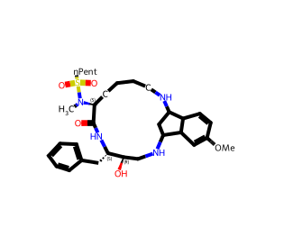 CCCCCS(=O)(=O)N(C)[C@H]1CCCCNC2CC(NC[C@@H](O)[C@H](Cc3ccccc3)NC1=O)C1C=C(OC)C=CC21